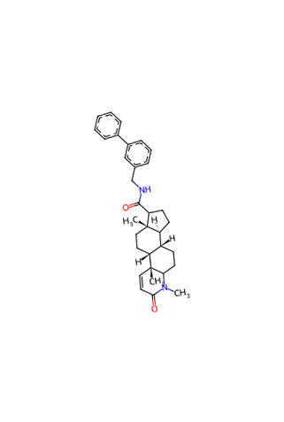 CN1C(=O)C=C[C@@]2(C)C1CC[C@@H]1[C@H]2CC[C@]2(C)C(C(=O)NCc3cccc(-c4ccccc4)c3)CC[C@@H]12